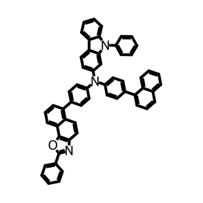 c1ccc(-c2nc3ccc4c(-c5ccc(N(c6ccc(-c7cccc8ccccc78)cc6)c6ccc7c8ccccc8n(-c8ccccc8)c7c6)cc5)cccc4c3o2)cc1